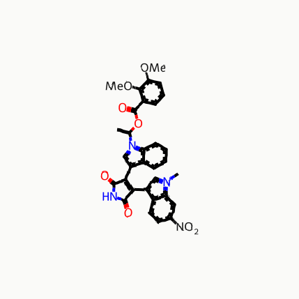 COc1cccc(C(=O)OC(C)n2cc(C3=C(c4cn(C)c5cc([N+](=O)[O-])ccc45)C(=O)NC3=O)c3ccccc32)c1OC